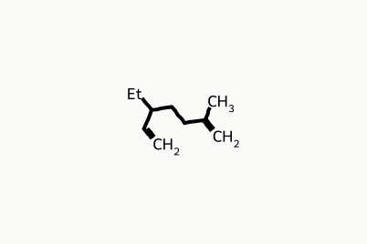 C=CC(CC)CCC(=C)C